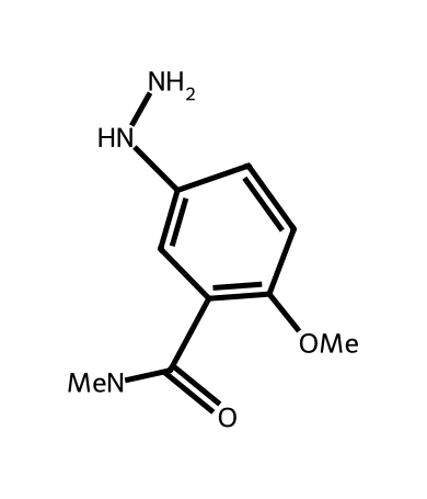 CNC(=O)c1cc(NN)ccc1OC